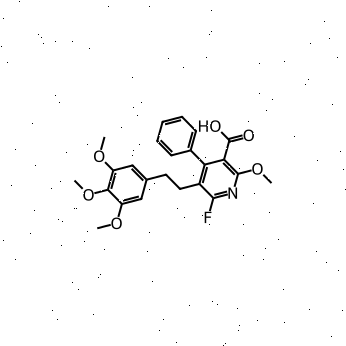 COc1cc(CCc2c(F)nc(OC)c(C(=O)O)c2-c2ccccc2)cc(OC)c1OC